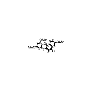 COc1cc(CC2=C(C)C(=O)c3cc(OC)ccc3C2=O)cc(OC)c1